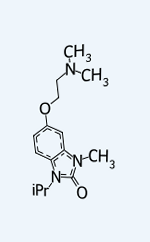 CC(C)n1c(=O)n(C)c2cc(OCCN(C)C)ccc21